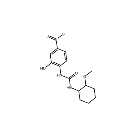 COC1CCCCC1NC(=O)Nc1ccc([N+](=O)[O-])cc1O